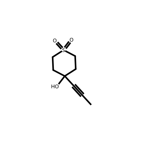 CC#CC1(O)CCS(=O)(=O)CC1